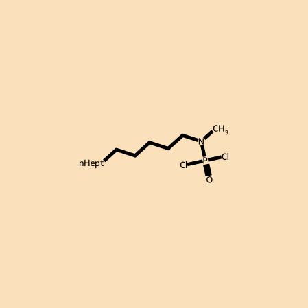 CCCCCCCCCCCCN(C)P(=O)(Cl)Cl